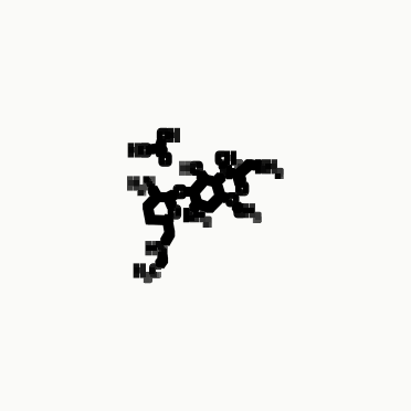 CCNCC1CCC(N)C(OC2C(N)CC(OC)C(N(C)C(=O)CN)C2O)O1.O=C(O)O